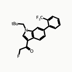 CC(C)(C)Cn1cc(C(=O)CF)c2ccc(-c3ccccc3C(F)(F)F)cc21